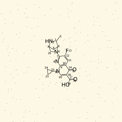 CC1NC2CC1N(c1nc3c(cc1F)c(=O)c(C(=O)O)cn3C1CC1)C2